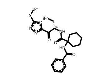 CC(C)C[C@H](NC(=O)C1(NC(=O)c2ccccc2)CCCCC1)C(=O)c1nnc(SC(C)C)o1